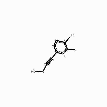 Cc1nc(C#CCO)ccc1F